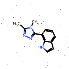 Cc1nnc(-c2cccc3cc[nH]c23)n1C